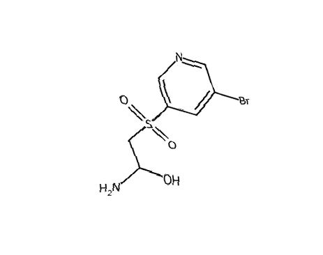 NC(O)CS(=O)(=O)c1cncc(Br)c1